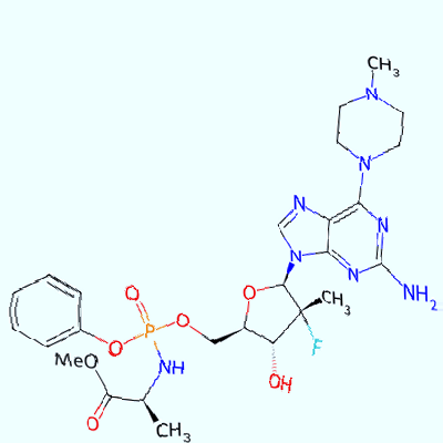 COC(=O)[C@H](C)NP(=O)(OC[C@H]1O[C@@H](n2cnc3c(N4CCN(C)CC4)nc(N)nc32)[C@](C)(F)[C@@H]1O)Oc1ccccc1